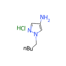 CCCCCn1cc(N)cn1.Cl